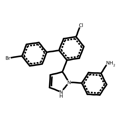 Nc1cccc(N2NC=CC2c2ccc(Cl)cc2-c2ccc(Br)cc2)c1